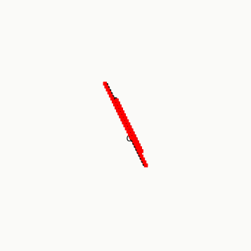 CCCCCCCCCCCCCCCCCCCCCCCCCCCCCCCCCCCCC.CCCCCCCCCCCCCCCCCCCCCCCCCCCCCCCCCCCCC(=O)OCCCCCCCCCCCCCCCCCCC